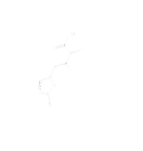 COC(=O)C(C=O)C(=O)Cc1coc(N)c1